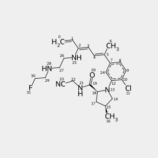 C=CC(=CC=C(C)c1ccc(Cl)c(N2C[C@@H](C)C[C@H]2C(=O)NCC#N)c1)NCCNCCF